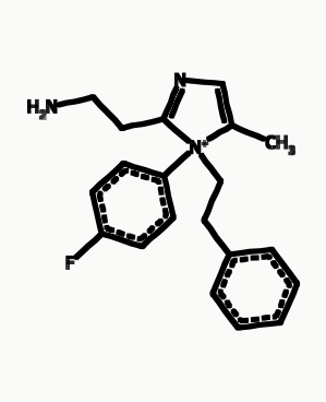 CC1=CN=C(CCN)[N+]1(CCc1ccccc1)c1ccc(F)cc1